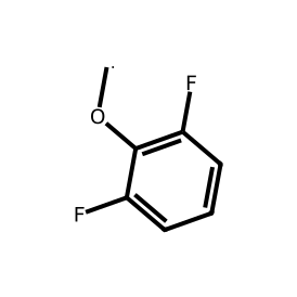 [CH2]Oc1c(F)cccc1F